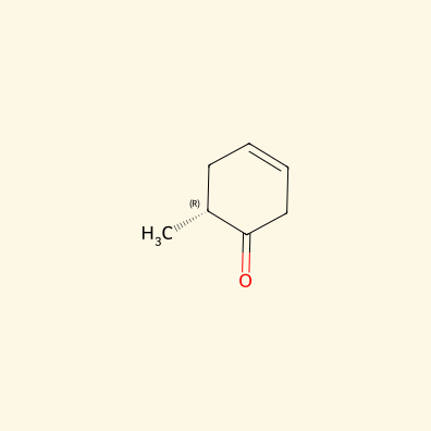 C[C@@H]1CC=CCC1=O